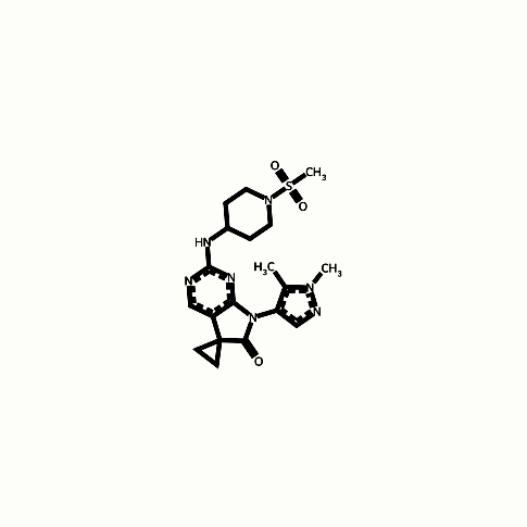 Cc1c(N2C(=O)C3(CC3)c3cnc(NC4CCN(S(C)(=O)=O)CC4)nc32)cnn1C